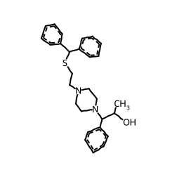 CC(O)C(c1ccccc1)N1CCN(CCSC(c2ccccc2)c2ccccc2)CC1